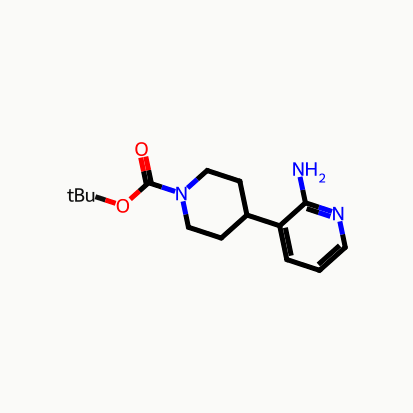 CC(C)(C)OC(=O)N1CCC(c2cccnc2N)CC1